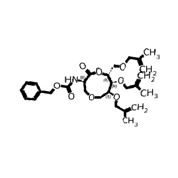 C=C(C)COC[C@H]1OC(=O)[C@H](NC(=O)OCc2ccccc2)COC[C@H](OCC(=C)C)[C@H]1OCC(=C)C